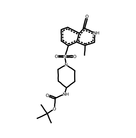 Cc1c[nH]c(=O)c2cccc(S(=O)(=O)N3CCC(NC(=O)OC(C)(C)C)CC3)c12